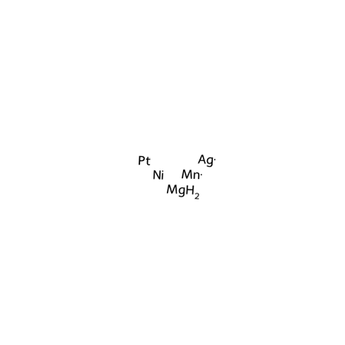 [Ag].[MgH2].[Mn].[Ni].[Pt]